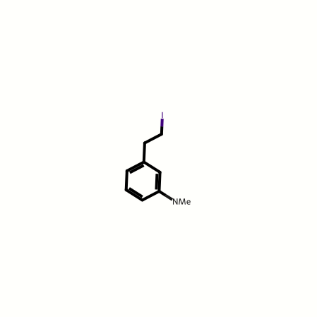 CNc1cccc(CCI)c1